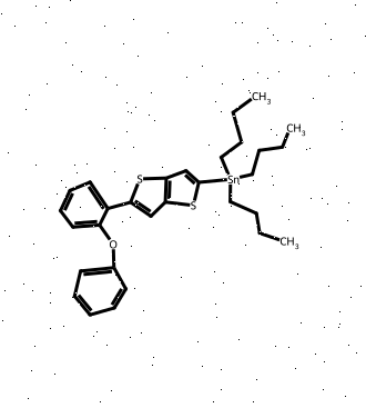 CCC[CH2][Sn]([CH2]CCC)([CH2]CCC)[c]1cc2sc(-c3ccccc3Oc3ccccc3)cc2s1